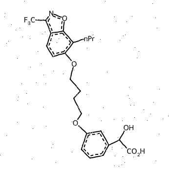 CCCc1c(OCCCCOc2cccc(C(O)C(=O)O)c2)ccc2c(C(F)(F)F)noc12